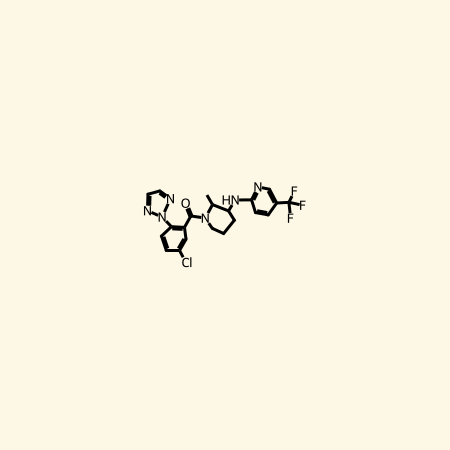 CC1C(Nc2ccc(C(F)(F)F)cn2)CCCN1C(=O)c1cc(Cl)ccc1-n1nccn1